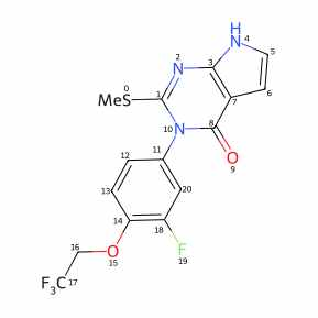 CSc1nc2[nH]ccc2c(=O)n1-c1ccc(OCC(F)(F)F)c(F)c1